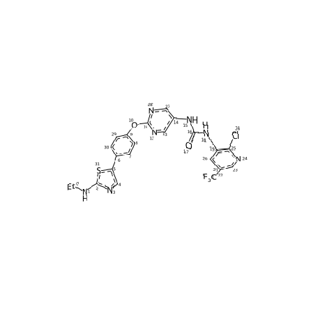 CCNc1ncc(-c2ccc(Oc3ncc(NC(=O)Nc4cc(C(F)(F)F)cnc4Cl)cn3)cc2)s1